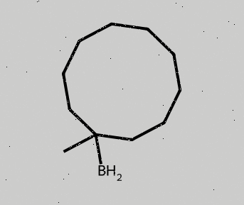 BC1(C)CCCCCCCCC1